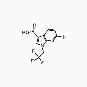 O=C(O)c1cn(CC(F)(F)F)c2cc(F)ccc12